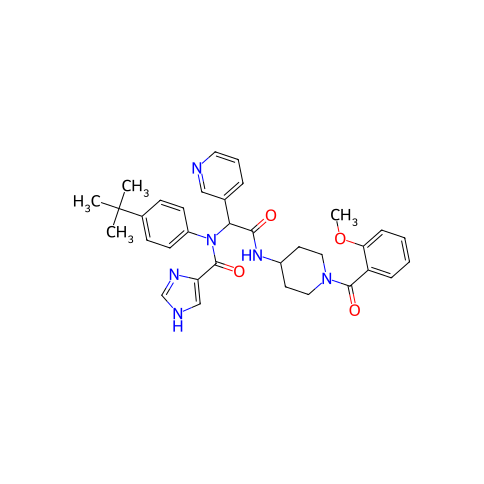 COc1ccccc1C(=O)N1CCC(NC(=O)C(c2cccnc2)N(C(=O)c2c[nH]cn2)c2ccc(C(C)(C)C)cc2)CC1